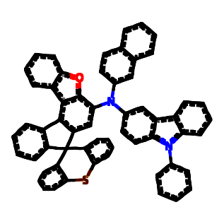 c1ccc(-n2c3ccccc3c3cc(N(c4ccc5ccccc5c4)c4cc5c(c6c4oc4ccccc46)-c4ccccc4C54c5ccccc5Sc5ccccc54)ccc32)cc1